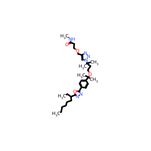 CCCCCCC(CC)c1nnc(-c2ccc(C(C)(C)OCCC(C)(C)n3cc(COCCC(=O)NC)nn3)cc2)o1